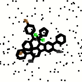 CC(C)(C)c1cc2c(cc1-c1ccccc1)[CH]([Hf]([Cl])([Cl])(=[C](c1ccc(Br)cc1)c1ccc(Br)cc1)[CH]1C=CC=C1)c1cc(-c3ccccc3)c(C(C)(C)C)cc1-2